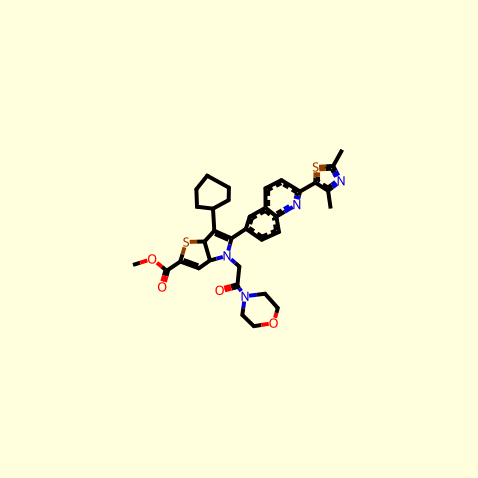 COC(=O)C1=CC2C(S1)C(C1CCCCC1)=C(c1ccc3nc(-c4sc(C)nc4C)ccc3c1)N2CC(=O)N1CCOCC1